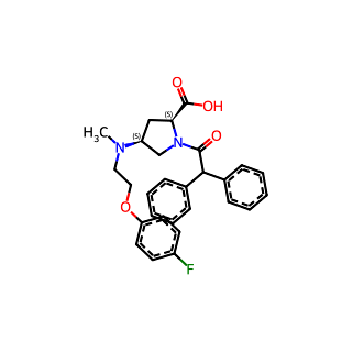 CN(CCOc1ccc(F)cc1)[C@H]1C[C@@H](C(=O)O)N(C(=O)C(c2ccccc2)c2ccccc2)C1